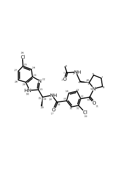 CC(=O)NC[C@H]1CCCN1C(=O)c1ccc(C(=O)N[C@@H](C)c2nc3cc(Cl)ccc3[nH]2)cc1Cl